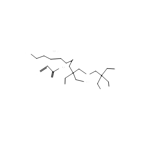 C=CC(=O)OC.O=C([O-])CCCCCC(=O)[O-].OCC(CO)(CO)COCC(CO)(CO)CO.[Mg+2]